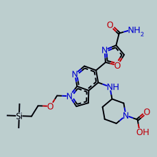 C[Si](C)(C)CCOCn1ccc2c(NC3CCCN(C(=O)O)C3)c(-c3nc(C(N)=O)co3)cnc21